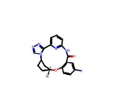 O=C1Nc2cccc(n2)-c2nncn2C2CC[C@H](C2)Oc2ccc(I)cc21